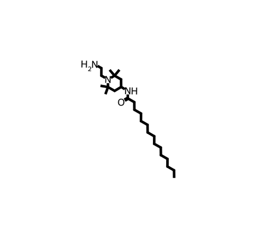 CCCCCCCCCCCCCCC(=O)NC1CC(C)(C)N(CCN)C(C)(C)C1